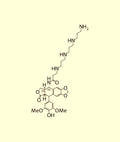 COc1cc(C2c3cc4c(cc3[C@@H](NC(=O)CCNCCCNCCCNCCCN)[C@H]3COC(=O)[C@H]23)OCO4)cc(OC)c1O